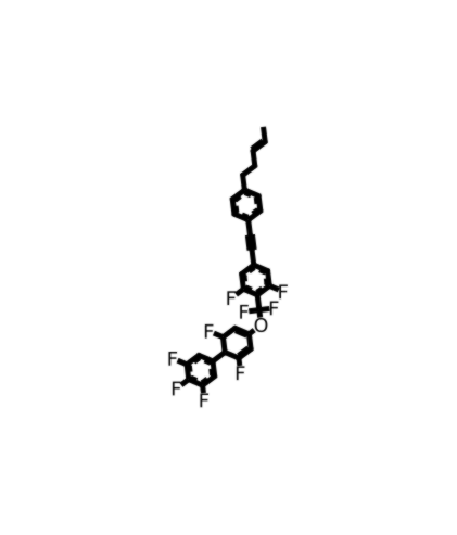 C/C=C/CCc1ccc(C#Cc2cc(F)c(C(F)(F)OC3=CC(F)C(c4cc(F)c(F)c(F)c4)C(F)=C3)c(F)c2)cc1